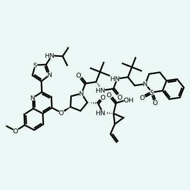 C=CC1C[C@]1(NC(=O)[C@@H]1C[C@@H](Oc2cc(-c3csc(NC(C)C)n3)nc3cc(OC)ccc23)CN1C(=O)[C@@H](NC(=O)NC(CN1CCc2ccccc2S1(=O)=O)C(C)(C)C)C(C)(C)C)C(=O)O